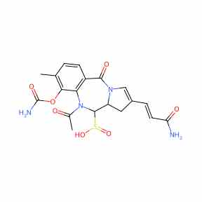 CC(=O)N1c2c(ccc(C)c2OC(N)=O)C(=O)N2C=C(C=CC(N)=O)CC2C1S(=O)O